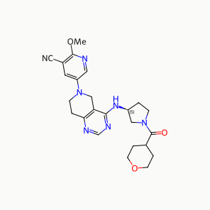 COc1ncc(N2CCc3ncnc(N[C@H]4CCN(C(=O)C5CCOCC5)C4)c3C2)cc1C#N